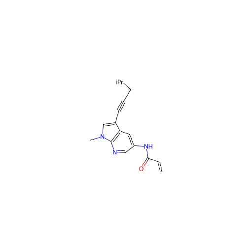 C=CC(=O)Nc1cnc2c(c1)c(C#CCC(C)C)cn2C